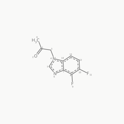 CC(=O)Cn1cnc2c(F)c(F)ccc21